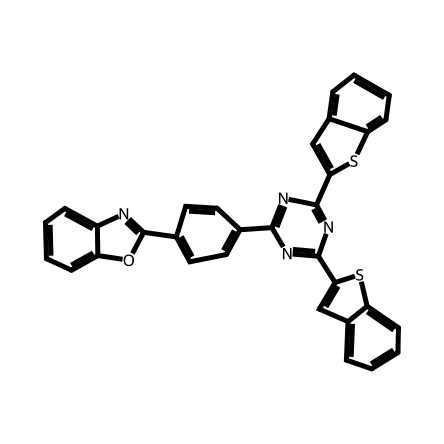 c1ccc2sc(-c3nc(-c4ccc(-c5nc6ccccc6o5)cc4)nc(-c4cc5ccccc5s4)n3)cc2c1